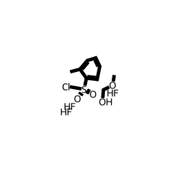 COCO.Cc1ccccc1S(=O)(=O)Cl.F.F.F